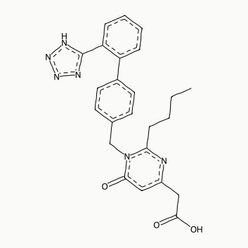 CCCCc1nc(CC(=O)O)cc(=O)n1Cc1ccc(-c2ccccc2-c2nnn[nH]2)cc1